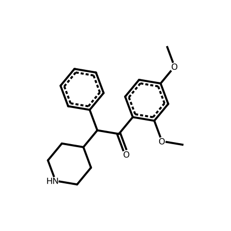 COc1ccc(C(=O)C(c2ccccc2)C2CCNCC2)c(OC)c1